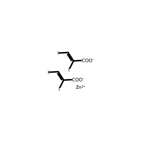 O=C([O-])C(I)=CI.O=C([O-])C(I)=CI.[Zn+2]